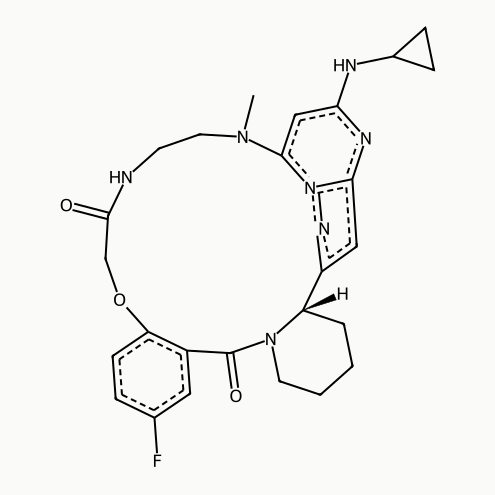 CN1CCNC(=O)COc2ccc(F)cc2C(=O)N2CCCC[C@H]2c2cc3nc(NC4CC4)cc1n3n2